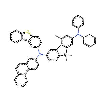 Cc1cc(N(c2ccccc2)C2C=CC=CC2)cc2c1-c1cc(N(c3ccc4c(ccc5ccccc54)c3)c3ccc4sc5ccccc5c4c3)ccc1[Si]2(C)C